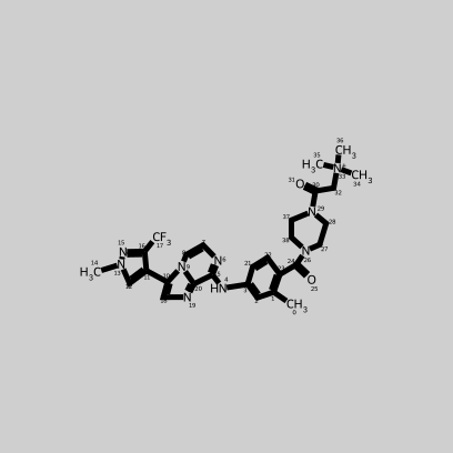 Cc1cc(Nc2nccn3c(-c4cn(C)nc4C(F)(F)F)cnc23)ccc1C(=O)N1CCN(C(=O)C[N+](C)(C)C)CC1